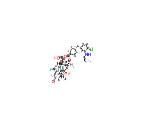 CCNc1cc(Cc2ccc([C@@H]3O[C@@H]4C[C@H]5[C@@H]6C[C@H](F)C7=CC(=O)C=C[C@]7(C)[C@@]6(F)[C@@H](O)C[C@]5(C)[C@]4(C(=O)CO)O3)cc2)ccc1Cl